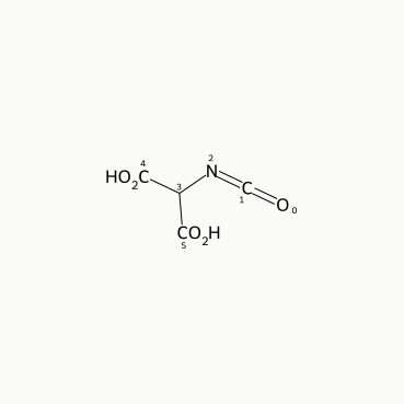 O=C=NC(C(=O)O)C(=O)O